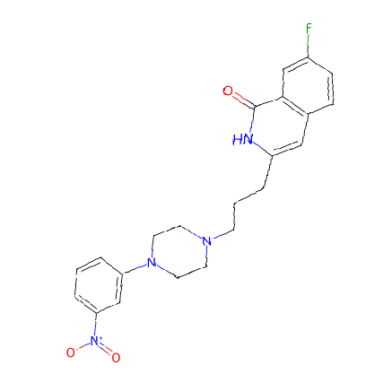 O=c1[nH]c(CCCN2CCN(c3cccc([N+](=O)[O-])c3)CC2)cc2ccc(F)cc12